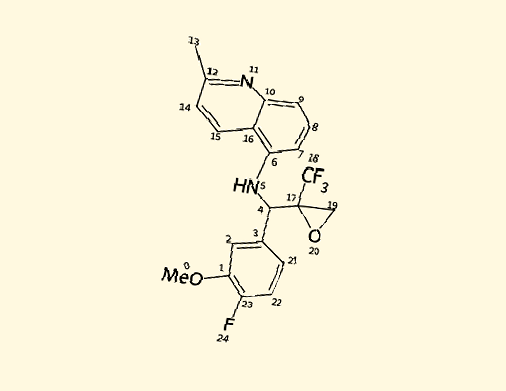 COc1cc(C(Nc2cccc3nc(C)ccc23)C2(C(F)(F)F)CO2)ccc1F